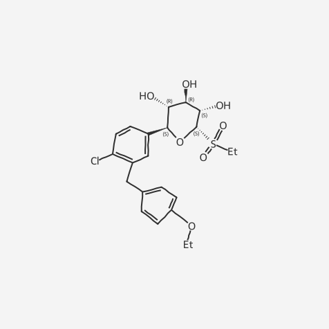 CCOc1ccc(Cc2cc([C@@H]3O[C@@H](S(=O)(=O)CC)[C@@H](O)[C@H](O)[C@H]3O)ccc2Cl)cc1